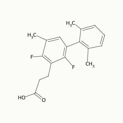 Cc1cc(-c2c(C)cccc2C)c(F)c(CCC(=O)O)c1F